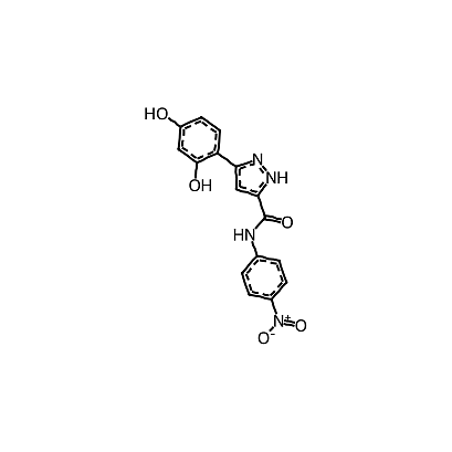 O=C(Nc1ccc([N+](=O)[O-])cc1)c1cc(-c2ccc(O)cc2O)n[nH]1